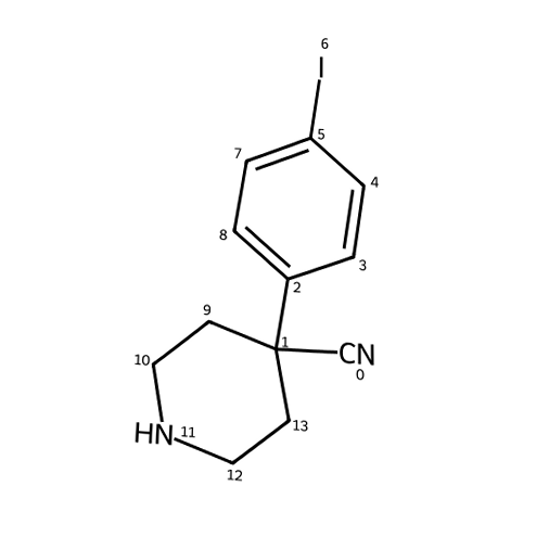 N#CC1(c2ccc(I)cc2)CCNCC1